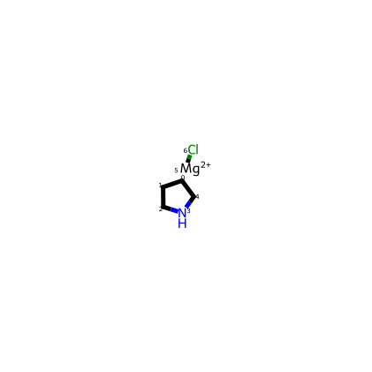 C1CCNC1.[Mg+2][Cl]